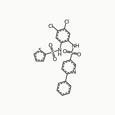 O=S(=O)(Nc1cc(Cl)c(Cl)cc1NS(=O)(=O)c1cccs1)c1ccc(-c2ccccc2)nc1